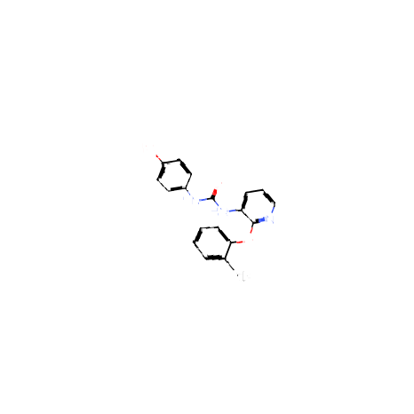 CC(C)(C)c1ccccc1Oc1ncccc1NC(=O)Nc1ccc(O)cc1